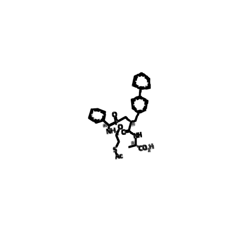 CC(=O)SCCOP(=O)(C[C@@H](Cc1ccc(-c2ccccc2)cc1)C(=O)N[C@@H](C)C(=O)O)[C@@H](N)c1ccccc1